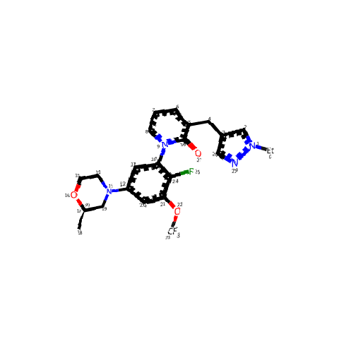 CCn1cc(Cc2cccn(-c3cc(N4CCO[C@H](C)C4)cc(OC(F)(F)F)c3F)c2=O)cn1